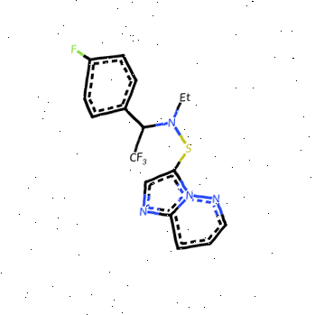 CCN(Sc1cnc2cccnn12)C(c1ccc(F)cc1)C(F)(F)F